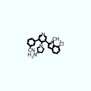 Cn1c(-c2cncc(-c3cccc(C#N)c3)c2N2CC[C@H](N)C2)cc2cccc(Cl)c21